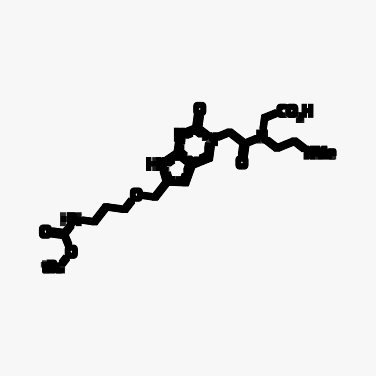 CNCCN(CC(=O)O)C(=O)Cn1cc2cc(COCCCNC(=O)OC(C)(C)C)[nH]c2nc1=O